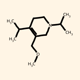 COCC1=C(C(C)C)CCN(C(C)C)C1